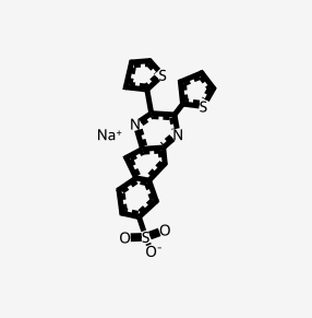 O=S(=O)([O-])c1ccc2cc3nc(-c4cccs4)c(-c4cccs4)nc3cc2c1.[Na+]